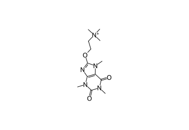 Cn1c(=O)c2c(nc(OCC[N+](C)(C)C)n2C)n(C)c1=O